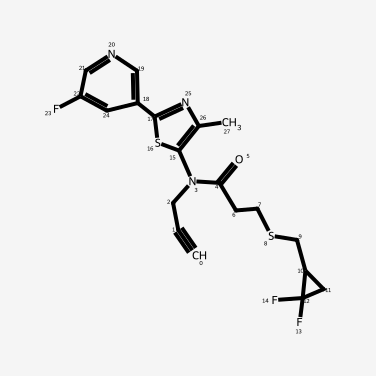 C#CCN(C(=O)CCSCC1CC1(F)F)c1sc(-c2cncc(F)c2)nc1C